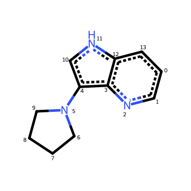 c1cnc2c(N3CCCC3)c[nH]c2c1